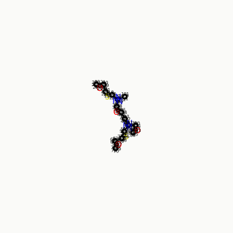 c1ccc(-c2nc(-c3ccc4c(c3)sc3ccc(-c5cccc6c5oc5ccccc56)cc34)nc(-c3ccc4oc5cc(-c6ccc(-c7nc(-c8ccc9c(c8)sc8ccc(-c%10cccc%11c%10oc%10ccccc%10%11)cc89)nc(-c8cccc9oc%10ccccc%10c89)n7)cc6)ccc5c4c3)n2)cc1